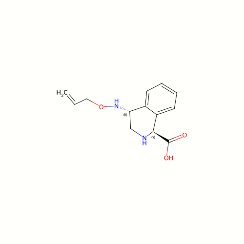 C=CCON[C@H]1CN[C@H](C(=O)O)c2ccccc21